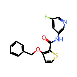 O=C(Nc1cncc(F)c1)c1sccc1OCc1ccccc1